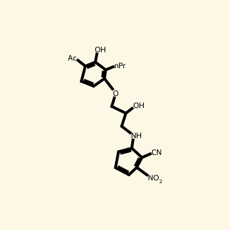 CCCc1c(OCC(O)CNc2cccc([N+](=O)[O-])c2C#N)ccc(C(C)=O)c1O